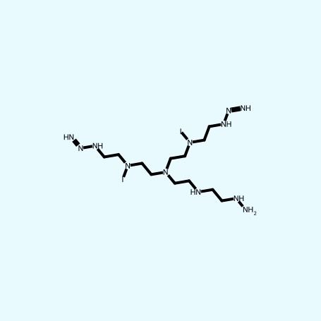 N=NNCCN(I)CCN(CCNCCNN)CCN(I)CCNN=N